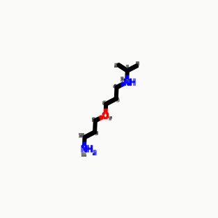 CC(C)NCCCOCCCN